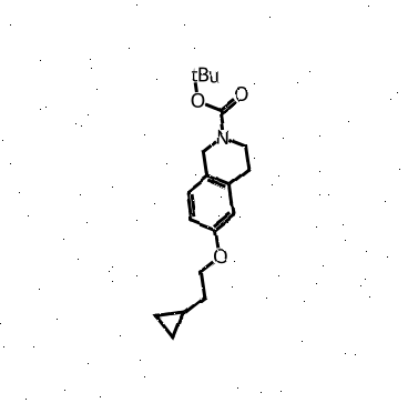 CC(C)(C)OC(=O)N1CCc2cc(OCCC3CC3)ccc2C1